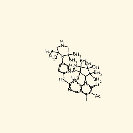 BC1(B)CNCC(B)(B)N1c1ccc(Nc2ncc3c(C)c(C(C)=O)c(=O)n(C4C(B)(B)C(B)(B)C(B)(O)C4(B)B)c3n2)nc1